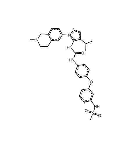 CC(C)c1cnn(-c2ccc3c(c2)CCN(C)C3)c1NC(=O)Nc1ccc(Oc2ccnc(NS(C)(=O)=O)c2)cc1